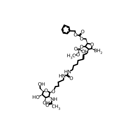 B[C@@H]1O[C@H](COC(=O)OCc2ccccc2)C(OP(=O)(O)OC)[C@@H]1C/C=C/CCCCNC(=O)NCCCCO[C@@H]1O[C@H](CO)[C@H](O)[C@H](O)[C@H]1NC(C)=O